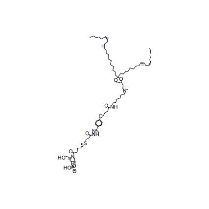 CCCCC/C=C\C/C=C\CCCCCCCCCCC1(CCCCCCCC/C=C\C/C=C\CCCCC)OCC(CCN(C)CCCCCCNC(=O)CCCOc2ccc(/C(C)=N/NC(=O)CCSSCCCC(=O)N3C[C@H](O[PH](=O)O)C[C@H]3CO)cc2)O1